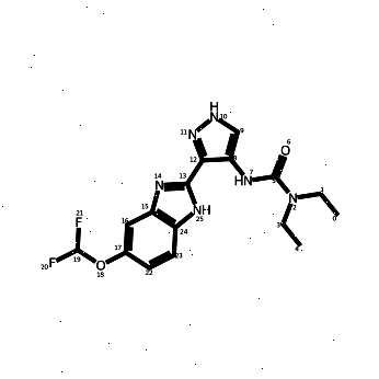 CCN(CC)C(=O)Nc1c[nH]nc1-c1nc2cc(OC(F)F)ccc2[nH]1